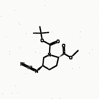 COC(=O)[C@@H]1CC[C@@H](N=[N+]=[N-])CN1C(=O)OC(C)(C)C